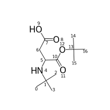 CC(C)(C)NC(CC(=O)O)C(=O)OC(C)(C)C